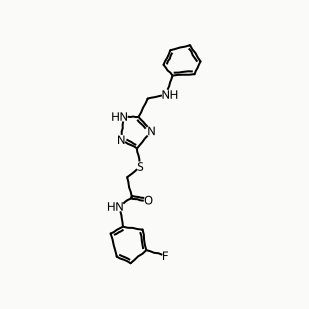 O=C(CSc1n[nH]c(CNc2ccccc2)n1)Nc1cccc(F)c1